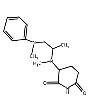 CC(CN(C)c1ccccc1)N(C)C1CCC(=O)NC1=O